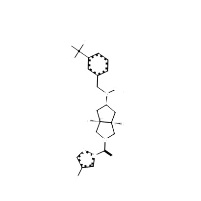 CN(Cc1cccc(C(F)(F)F)c1)[C@H]1C[C@@H]2CN(C(=O)n3cc(Cl)cn3)C[C@@H]2C1